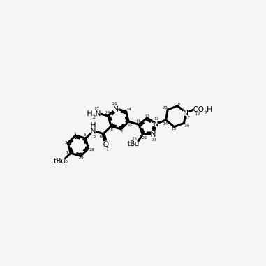 CC(C)(C)c1ccc(NC(=O)c2cc(-c3cn(C4CCN(C(=O)O)CC4)nc3C(C)(C)C)cnc2N)cc1